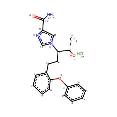 C[C@H](O)[C@@H](CCc1ccccc1Oc1ccccc1)n1cnc(C(N)=O)c1.Cl